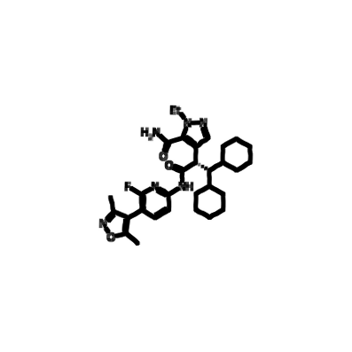 CCn1ncc([C@@H](C(=O)Nc2ccc(-c3c(C)noc3C)c(F)n2)C(C2CCCCC2)C2CCCCC2)c1C(N)=O